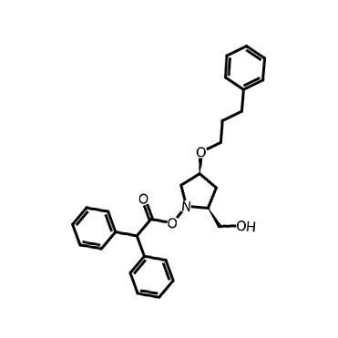 O=C(ON1C[C@@H](OCCCc2ccccc2)C[C@H]1CO)C(c1ccccc1)c1ccccc1